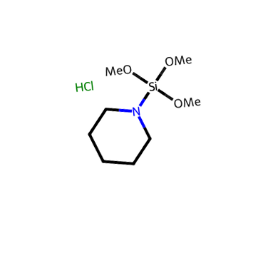 CO[Si](OC)(OC)N1CCCCC1.Cl